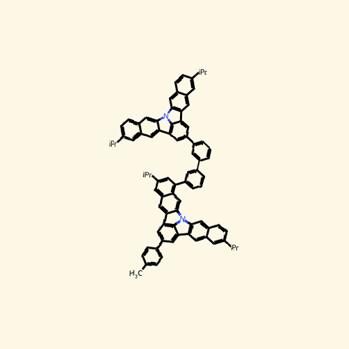 Cc1ccc(-c2cc3c4cc5cc(C(C)C)ccc5cc4n4c5cc6c(-c7cccc(-c8cccc(-c9cc%10c%11cc%12cc(C(C)C)ccc%12cc%11n%11c%12cc%13ccc(C(C)C)cc%13cc%12c(c9)c%10%11)c8)c7)cc(C(C)C)cc6cc5c(c2)c34)cc1